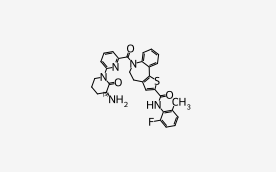 Cc1cccc(F)c1NC(=O)c1cc2c(s1)-c1ccccc1N(C(=O)c1cccc(N3CCC[C@H](N)C3=O)n1)CC2